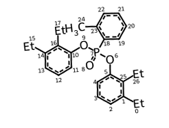 CCc1cccc(OP(=O)(Oc2cccc(CC)c2CC)c2ccccc2C)c1CC